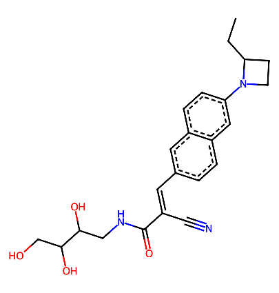 CCC1CCN1c1ccc2cc(/C=C(\C#N)C(=O)NCC(O)C(O)CO)ccc2c1